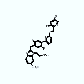 COCCn1c(Cc2cc(F)c(-c3cccc(OCc4ncc(Br)cc4F)n3)cc2F)nc2ccc(C(=O)O)cc21